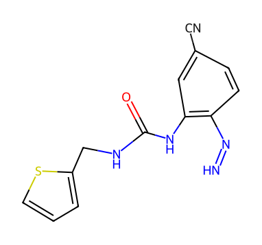 N#Cc1ccc(N=N)c(NC(=O)NCc2cccs2)c1